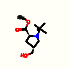 CC(C)(C)OC(=O)[C@H]1C[C@@H](CO)CN1[Si](C)(C)C